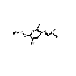 CCCCCOc1nc(C)c(/N=C/N(C)CC)cc1Br